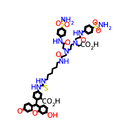 NS(=O)(=O)c1ccc(NC(=O)CN(CCN(CC(=O)NCCCCCCNC(=S)Nc2ccc(-c3c4ccc(=O)cc-4oc4cc(O)ccc34)c(C(=O)O)c2)CC(=O)Nc2ccc(S(N)(=O)=O)cc2)CC(=O)O)cc1